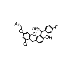 CCCC(c1ccc(F)cc1)c1cc(Cc2c(Cl)cc(OCC(C)=O)cc2Cl)ccc1O